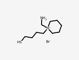 NC[N+]1(CCCCS)CCCCC1.[Br-]